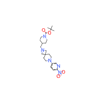 CC(C)(C)OC(=O)N1CCC(CN2CC3(CCN(c4ccc([N+](=O)[O-])nc4)CC3)C2)CC1